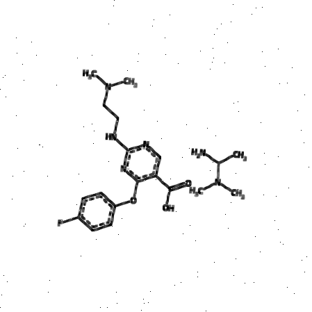 CC(N)N(C)C.CN(C)CCNc1ncc(C(=O)O)c(Oc2ccc(F)cc2)n1